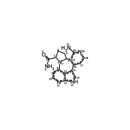 NC(=O)C1CCCN1c1ccnc2[nH]cc(-c3ccnc(N)n3)c12